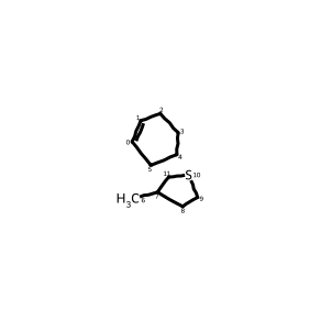 C1=CCCCC1.CC1CCSC1